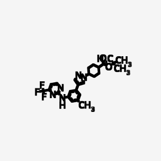 Cc1cc(Nc2nccc(C(F)(F)F)n2)cc(-c2cnn(C3CCC(C(=O)OC(C)(C)C)CC3)c2)c1